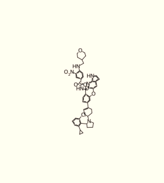 O=C(NS(=O)(=O)c1ccc(NCC2CCOCC2)c([N+](=O)[O-])c1)c1ccc(C2=CCC(N3CCCC3c3c(Cl)cccc3C3CC3)CC2)cc1Oc1cnc2[nH]ccc2c1